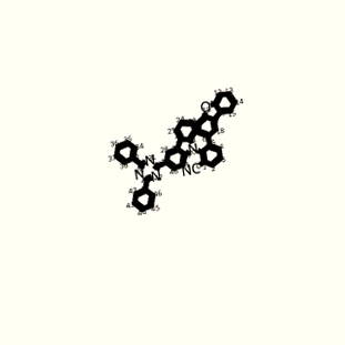 N#Cc1cccc(-c2ccc3oc4ccccc4c3c2)c1-n1c2ccccc2c2cc(-c3nc(-c4ccccc4)nc(-c4ccccc4)n3)ccc21